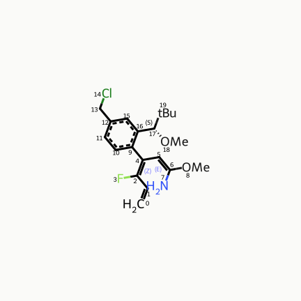 C=C/C(F)=C(\C=C(/N)OC)c1ccc(CCl)cc1[C@@H](OC)C(C)(C)C